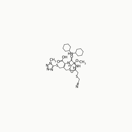 C1CCC(NC2CCCCC2)CC1.CO[C@@]1(NC(=O)CSCC#N)C(=O)N2C(C(=O)O)=C(CSc3nnnn3C)CS[C@@H]21